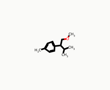 COCC(c1ccc(C)cc1)C(C)C